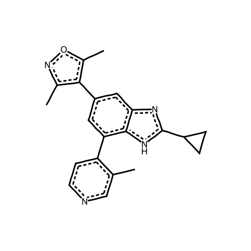 Cc1cnccc1-c1cc(-c2c(C)noc2C)cc2nc(C3CC3)[nH]c12